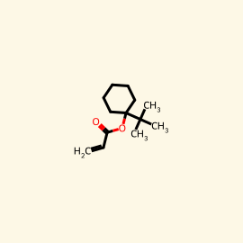 C=CC(=O)OC1(C(C)(C)C)CCCCC1